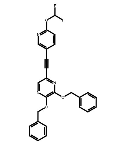 FC(F)Oc1ccc(C#Cc2cnc(OCc3ccccc3)c(OCc3ccccc3)n2)cn1